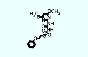 COc1cc(OC)nc(NC(=O)NS(=O)(=O)OCCOc2ccccc2)n1